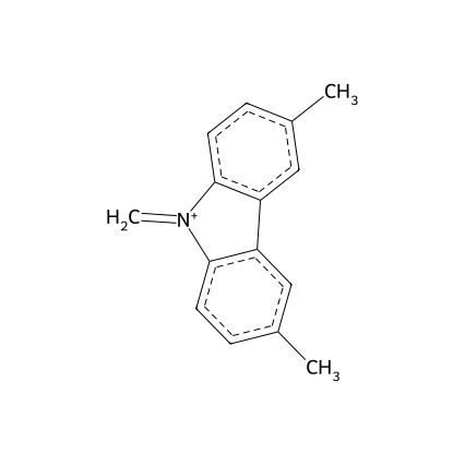 C=[N+]1c2ccc(C)cc2-c2cc(C)ccc21